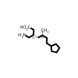 C[C@H](CCC1CCCC1)C[C@H](CN)CC(=O)O